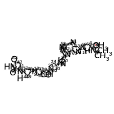 CCC1(C(=O)NC(C)C)CCN(c2ccc(-c3nc(-c4cnn(C5CCN(C(=O)CC6(O)CCN(c7ccc(NC8CCC(=O)NC8=O)cc7)CC6)CC5)c4)cn4ncc(C#N)c34)cn2)CC1